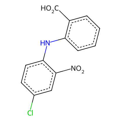 O=C(O)c1ccccc1Nc1ccc(Cl)cc1[N+](=O)[O-]